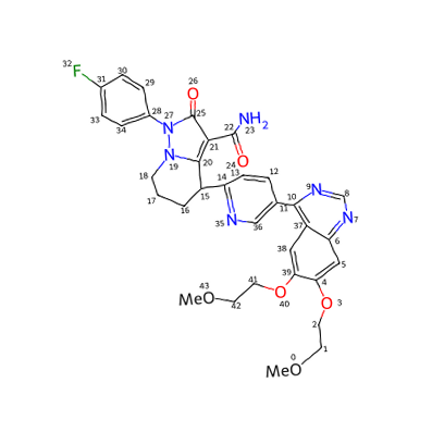 COCCOc1cc2ncnc(-c3ccc(C4CCCn5c4c(C(N)=O)c(=O)n5-c4ccc(F)cc4)nc3)c2cc1OCCOC